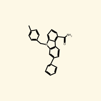 Cc1ccc(Cn2c3cc(-c4ccccc4)c[c]c3c3c(C(N)=O)cccc32)cc1